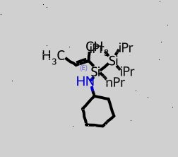 C/C=C(\C)[Si](CCC)(NC1CCCCC1)[Si](C(C)C)(C(C)C)C(C)C